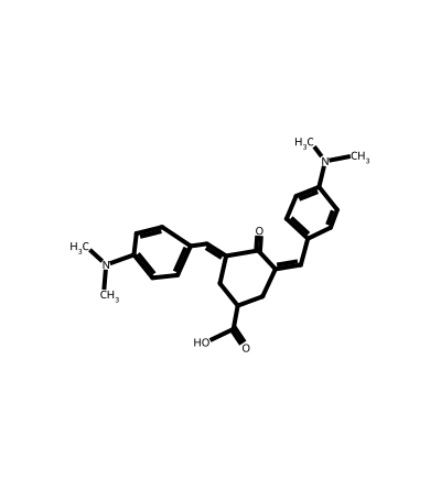 CN(C)c1ccc(/C=C2/CC(C(=O)O)C/C(=C\c3ccc(N(C)C)cc3)C2=O)cc1